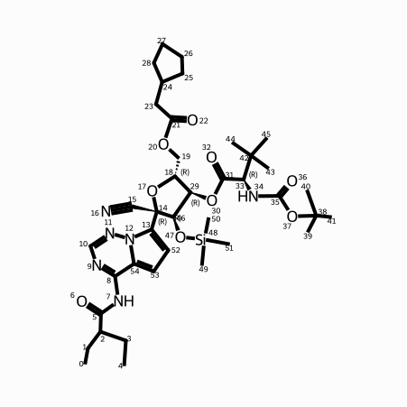 CCC(CC)C(=O)Nc1ncnn2c([C@]3(C#N)O[C@H](COC(=O)CC4CCCC4)[C@@H](OC(=O)[C@H](NC(=O)OC(C)(C)C)C(C)(C)C)[C@H]3O[Si](C)(C)C)ccc12